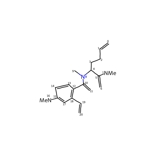 C=CCCC(C(=C)NC)N(C)C(=C)c1ccc(NC)cc1C=C